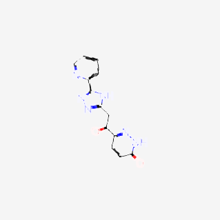 O=C(Cc1nnc(-c2ccccn2)[nH]1)c1ccc(=O)[nH]n1